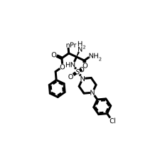 CCCC(C(=O)OCc1ccccc1)[C@@](N)(NS(=O)(=O)N1CCN(c2ccc(Cl)cc2)CC1)C(N)=O